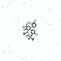 CC[C@@]1(CC(=O)O)C[C@H](c2cccc(Cl)c2)[C@@H](c2ccc(Cl)cc2)N([C@H](CNS(=O)(=O)C2CC2)C2CC2)C1=O